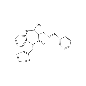 CC1Nc2ccccc2N(Cc2ccccc2)C(=O)C1C/C=C/c1ccccc1